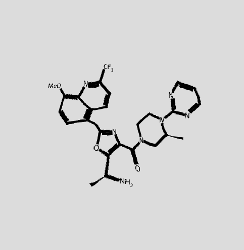 COc1ccc(-c2nc(C(=O)N3CCN(c4ncccn4)[C@@H](C)C3)c([C@H](C)N)o2)c2ccc(C(F)(F)F)nc12